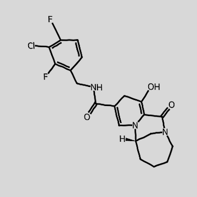 O=C(NCc1ccc(F)c(Cl)c1F)C1=CN2C(=C(O)C1)C(=O)N1CCCC[C@H]2C1